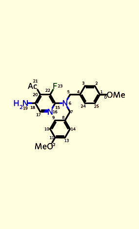 COc1ccc(CN(Cc2ccc(OC)cc2)c2ncc(N)c(C(C)=O)c2F)cc1